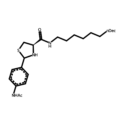 CCCCCCCCCCCCCCCCNC(=O)[C@@H]1CSC(c2ccc(NC(C)=O)cc2)N1